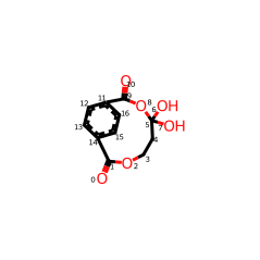 O=C1OCCC(O)(O)OC(=O)c2ccc1cc2